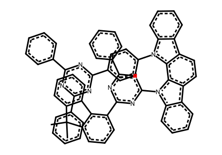 CC1(C)c2ccccc2-c2c(-c3nc(-c4ccccc4)nc(-n4c5ccccc5c5ccc6c7ccccc7n(-c7ccc(-c8nc(-c9ccccc9)nc(-c9ccccc9)n8)cc7)c6c54)n3)cccc21